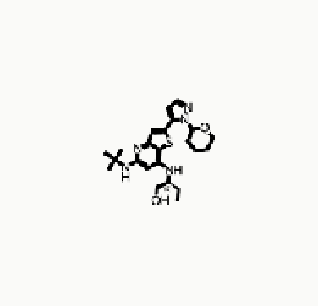 CC[C@@H](CO)Nc1cc(NC(C)(C)C)nc2cc(-c3ccnn3C3CCCCO3)sc12